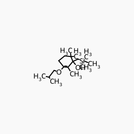 CC1=C(OCC(C)C)CCC(C)(C)C1(O)C[Si](C)(C)C